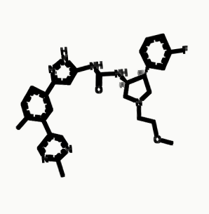 COCCN1C[C@@H](NC(=O)Nc2cc(-c3ccc(C)c(-c4cnc(C)nc4)c3)n[nH]2)[C@H](c2cccc(F)c2)C1